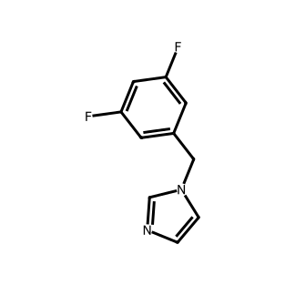 Fc1cc(F)cc(Cn2ccnc2)c1